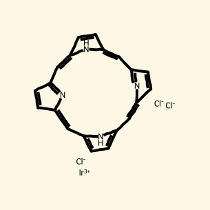 C1=Cc2cc3ccc(cc4nc(cc5ccc(cc1n2)[nH]5)C=C4)[nH]3.[Cl-].[Cl-].[Cl-].[Ir+3]